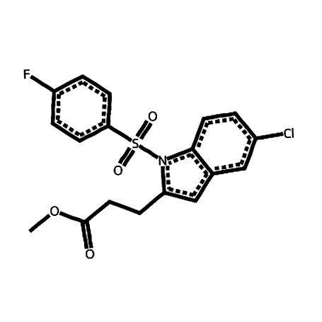 COC(=O)CCc1cc2cc(Cl)ccc2n1S(=O)(=O)c1ccc(F)cc1